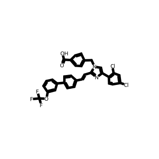 O=C(O)c1ccc(Cn2cc(-c3ccc(Cl)cc3Cl)nc2/C=C/c2ccc(-c3cccc(OC(F)(F)F)c3)cc2)cc1